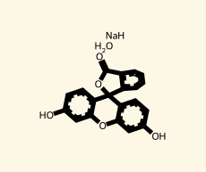 O.O=C1OC2(c3ccc(O)cc3Oc3cc(O)ccc32)c2ccccc21.[NaH]